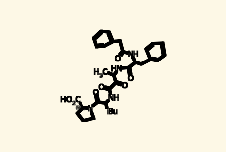 CCC(C)C(NC(=O)C(=O)C(C)NC(=O)C(Cc1ccccc1)NC(=O)Cc1ccccc1)C(=O)N1CCC[C@H]1C(=O)O